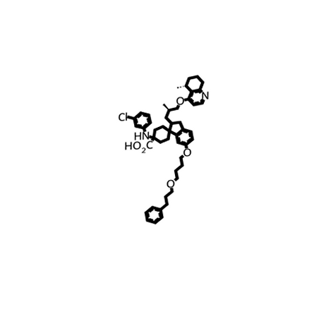 C[C@@H](COc1ccnc2c1[C@H](C)CCC2)CC1Cc2ccc(OCCCCOCCCc3ccccc3)cc2C12CCC(Nc1cccc(Cl)c1)(C(=O)O)CC2